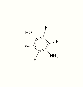 Nc1c(F)c(F)c(O)c(F)c1F